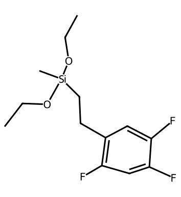 CCO[Si](C)(CCc1cc(F)c(F)cc1F)OCC